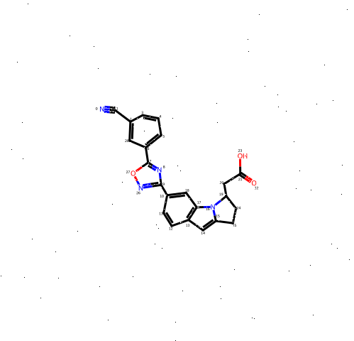 N#Cc1cccc(-c2nc(-c3ccc4cc5n(c4c3)C(CC(=O)O)CC5)no2)c1